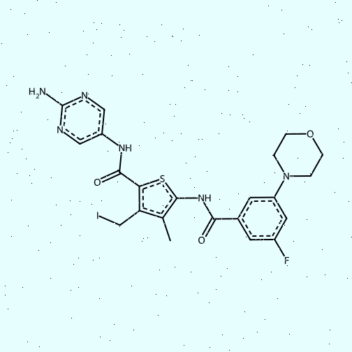 Cc1c(NC(=O)c2cc(F)cc(N3CCOCC3)c2)sc(C(=O)Nc2cnc(N)nc2)c1CI